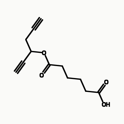 C#CCC(C#C)OC(=O)CCCCC(=O)O